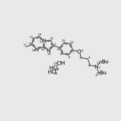 CCCCN(CCCC)CCCOc1ccc(-c2cn3ccc(C)nc3n2)cc1.Cl.Cl.Cl